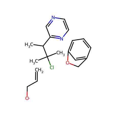 C=CC[O].CC(c1cnccn1)C(C)(C)Cl.c1cc2cc(c1)OC2